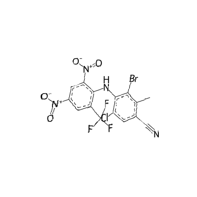 Cc1c(C#N)cc(Cl)c(Nc2c([N+](=O)[O-])cc([N+](=O)[O-])cc2C(F)(F)F)c1Br